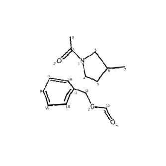 CC(=O)N1CCC(C)C1.O=COCc1ccccc1